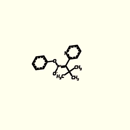 CC(C)(C)/C(c1ccccn1)=[P+](\[O-])Oc1ccccc1